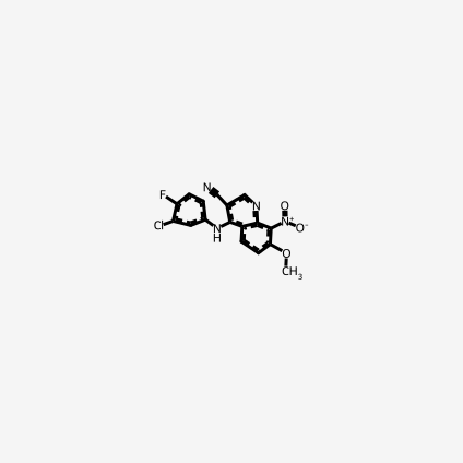 COc1ccc2c(Nc3ccc(F)c(Cl)c3)c(C#N)cnc2c1[N+](=O)[O-]